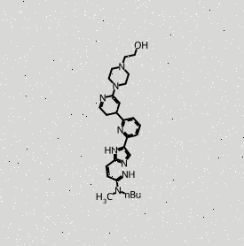 CCCCN(C)C(=N)/C=C\c1ncc(-c2cccc(C3C=C(N4CCN(CCO)CC4)N=CC3)n2)[nH]1